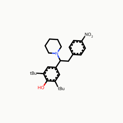 CC(C)(C)c1cc(C(Cc2ccc([N+](=O)[O-])cc2)N2CCCCC2)cc(C(C)(C)C)c1O